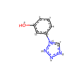 Oc1cccc(-n2cnnn2)c1